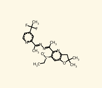 CC[S+]([O-])c1cc2c(nc1/C(C)=N/N=C(\C)c1cc(C(C)(F)F)ccn1)CC(C)(C)O2